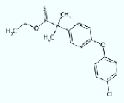 CCOC(=S)C(C)(C)c1ccc(Oc2ccc(Cl)cc2)cc1